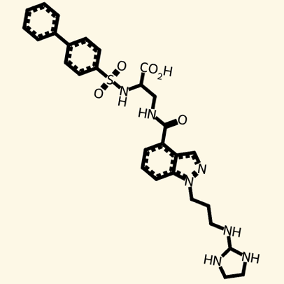 O=C(NCC(NS(=O)(=O)c1ccc(-c2ccccc2)cc1)C(=O)O)c1cccc2c1cnn2CCCNC1NCCN1